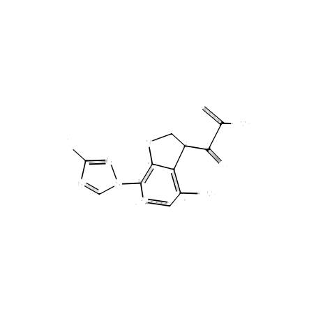 COC(=O)C(=O)C1CNc2c(-n3cnc(C)n3)ncc(OC)c21